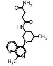 Cc1ncc(N2CC(C)CC(NC(=O)CCC(N)=O)C2)c2cccnc12